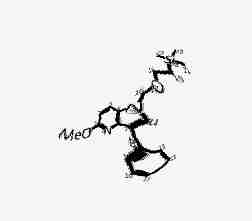 COc1ccc2c(n1)c(-c1ccccc1)cn2COCC[Si](C)(C)C